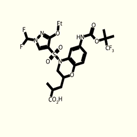 CCOc1nn(C(F)F)cc1S(=O)(=O)N1CC(CC(C)C(=O)O)Oc2ccc(NC(=O)OC(C)(C)C(F)(F)F)cc21